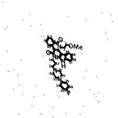 COCCN1C(=O)c2ccccc2C(C(=O)NCCCN2CCN(c3ccc(F)cc3)CC2)C1c1c[nH]c2ccccc12